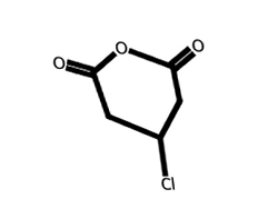 O=C1CC(Cl)CC(=O)O1